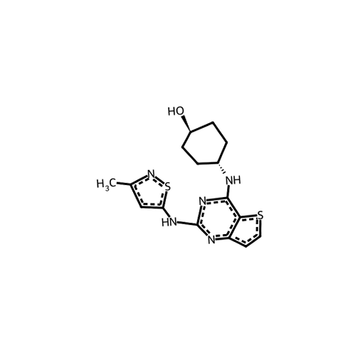 Cc1cc(Nc2nc(N[C@H]3CC[C@H](O)CC3)c3sccc3n2)sn1